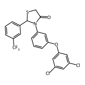 O=C1CSC(c2cccc(C(F)(F)F)c2)N1c1cccc(Oc2cc(Cl)cc(Cl)c2)c1